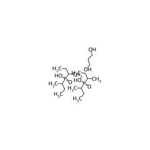 CCC(C)P(=O)(O)C(C)CC.CCC(C)P(=O)(O)C(C)CC.OCCCO